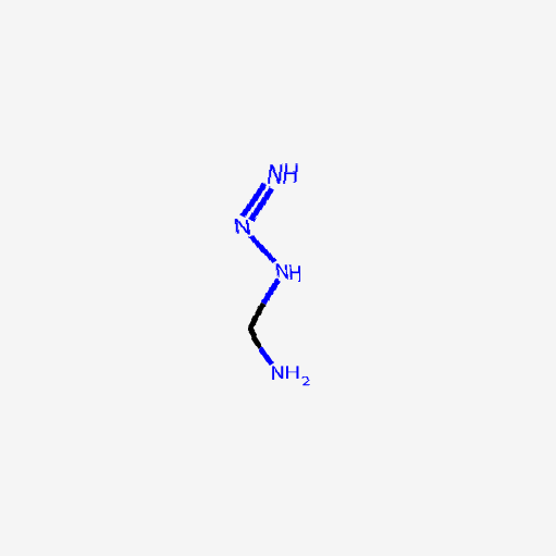 N=NNCN